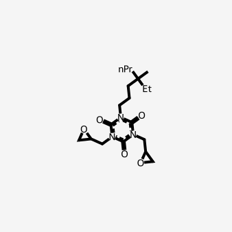 CCCC(C)(CC)CCCn1c(=O)n(CC2CO2)c(=O)n(CC2CO2)c1=O